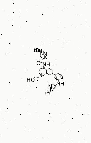 CC(C)n1cc(Nc2nccc(-c3ccc4c(c3)CN(CCO)CC[C@@H]4NC(=O)c3cn(C(C)(C)C)nn3)n2)cn1